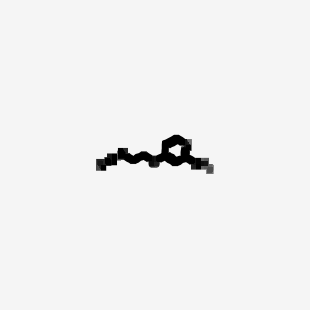 [N-]=[N+]=NCCOc1ccnc(N)c1